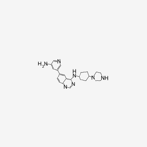 Nc1cncc(-c2ccc3ncnc(NC4CCC(N5CCNCC5)CC4)c3c2)c1